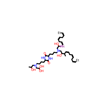 CC/C=C\C/C=C\C/C=C\PC(O)CN(CCCCC1NC(=O)C(CCCCN(CC(C)O)CC(O)O)NC1=O)CC(O)C(C)/C=C\C/C=C\C/C=C\CC